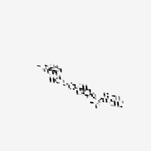 C=C(C)C(=O)OCC(C)COc1ccc(C(C)(C)c2ccc(OCC(O)COC(=O)C(C)(C)C)cc2)cc1